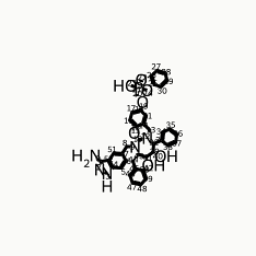 Nc1n[nH]c2ccc(CN3C(=O)N(Cc4cccc(OCP(=O)(O)Oc5ccccc5)c4)C(c4ccccc4)[C@H](O)[C@@H](O)[C@H]3Cc3ccccc3)cc12